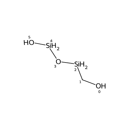 OC[SiH2]O[SiH2]O